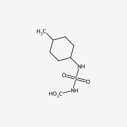 CC1CCC(NS(=O)(=O)NC(=O)O)CC1